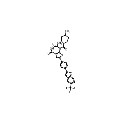 CC1CCC(C(=O)N(c2nn(-c3ccc(-c4cn5cc(C(F)(F)F)ccc5n4)cc3)cc2C(=O)O)C(C)C)CC1